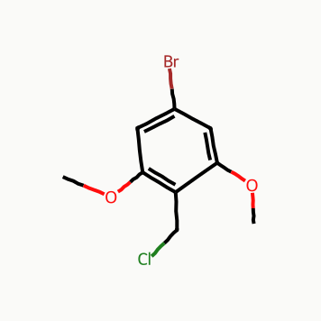 COc1cc(Br)cc(OC)c1CCl